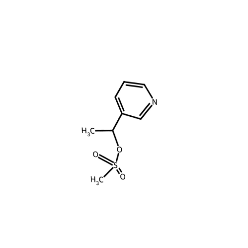 CC(OS(C)(=O)=O)c1cccnc1